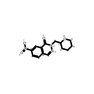 O=c1c2cc([N+](=O)[O-])ccc2cnn1CC1CCCCO1